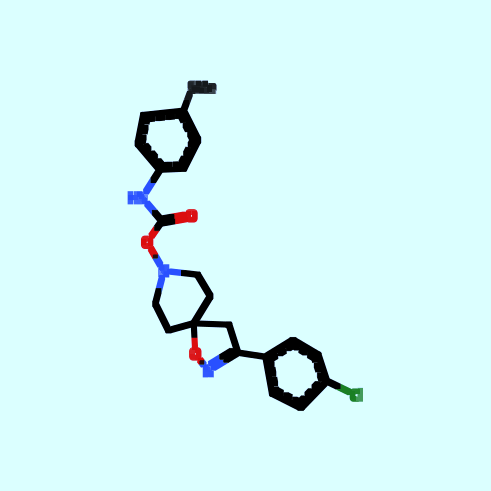 CSc1ccc(NC(=O)ON2CCC3(CC2)CC(c2ccc(Cl)cc2)=NO3)cc1